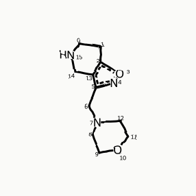 C1Cc2onc(CN3CCOCC3)c2CN1